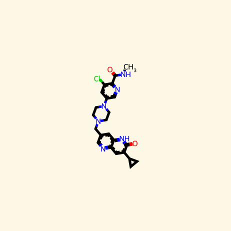 CNC(=O)c1ncc(N2CCN(Cc3cnc4cc(C5CC5)c(=O)[nH]c4c3)CC2)cc1Cl